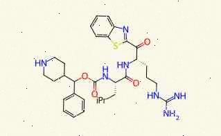 CC(C)C[C@H](NC(=O)OC(c1ccccc1)C1CCNCC1)C(=O)N[C@@H](CCCNC(=N)N)C(=O)c1nc2ccccc2s1